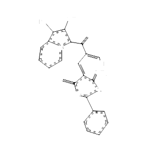 C=c1nc(-c2ccccc2)oc(=O)/c1=C/C(=C\C)C(=O)c1c(C)c(Br)c2ccccn12